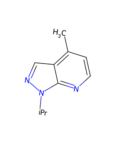 Cc1ccnc2c1cnn2C(C)C